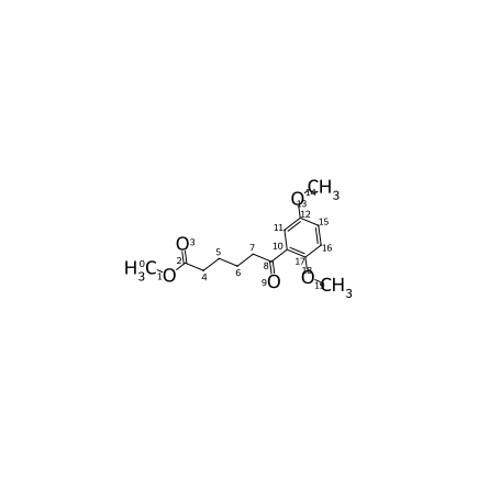 COC(=O)CCCCC(=O)c1cc(OC)ccc1OC